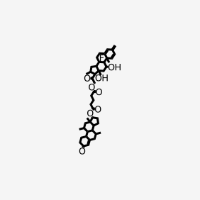 C=C1C=CC2(C)C(=C1)CCC1C3CC(C)C(O)(C(=O)COC(=O)CCCC(=O)OC4CCC5C6C(C)CC7=CC(=O)CCC7C6C(C)CC45C)C3(C)CC(O)C12F